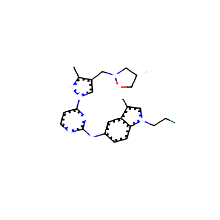 Cc1nn(-c2ccnc(Nc3ccc4c(c3)c(C=O)cn4CCF)n2)cc1CN1C[C@H](O)CO1